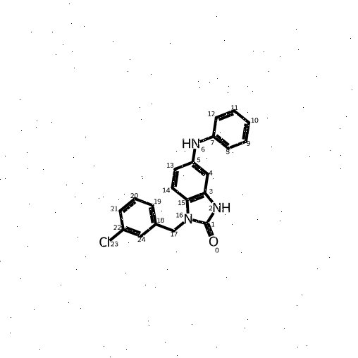 O=c1[nH]c2cc(Nc3ccccc3)ccc2n1Cc1cccc(Cl)c1